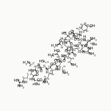 CCCC[C@H](NC(=O)[C@H](CCCNC(=N)N)NC(=O)[C@H](CCN)NC(=O)[C@H](CS)NC(=O)[C@H](CCCCN)NC(=O)[C@@H](CCN)NC(=O)[C@@H](NC(=O)[C@H](CCN)NC(=O)[C@H](CCCNC(=N)N)NC(=O)[C@H](CC(N)=O)NC(=O)[C@@H](NC(=O)[C@H](Cc1ccc(O)cc1)NC(=O)[C@@H](NC(=O)[C@@H](N)[C@@H](C)CC)[C@@H](C)O)C(C)(C)S)[C@@H](C)O)C(=O)O